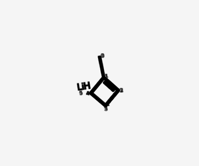 CC1=C[CH]C1.[LiH]